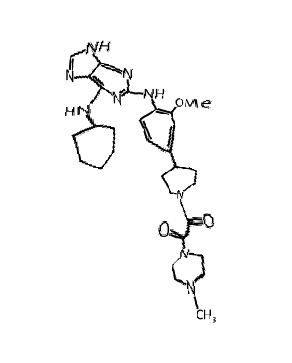 COc1cc(C2CCN(C(=O)C(=O)N3CCN(C)CC3)CC2)ccc1Nc1nc(NC2CCCCC2)c2nc[nH]c2n1